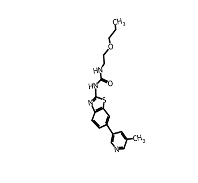 CCCOCCNC(=O)Nc1nc2ccc(-c3cncc(C)c3)cc2s1